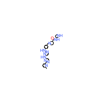 Cc1cccc(-c2nccc(Nc3ccnc(Nc4ccc(CN5CCCC(C(=O)N[C@@H]6CCNC6)C5)cc4)n3)n2)n1